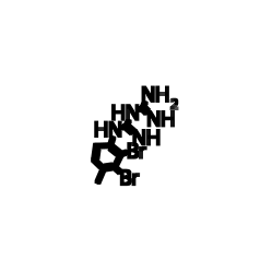 Cc1ccc(NC(=N)NC(=N)N)c(Br)c1Br